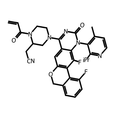 C=CC(=O)N1CCN(c2nc(=O)n(-c3c(C)ccnc3C(C)C)c3c(F)c4c(cc23)OCc2cccc(F)c2-4)CC1CC#N